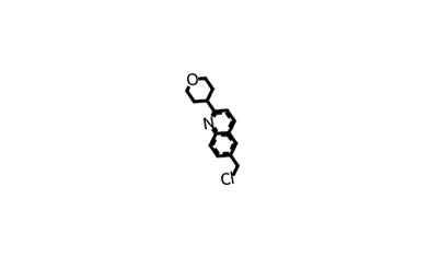 ClCc1ccc2nc(C3CCOCC3)ccc2c1